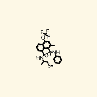 CSCC(C)NC(=O)c1cccc2c(OC(F)(F)F)cc(C)c(C(=O)Nc3ccccc3)c12